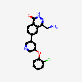 NCc1n[nH]c(=O)c2ccc(-c3cncc(Oc4ccccc4Cl)c3)cc12